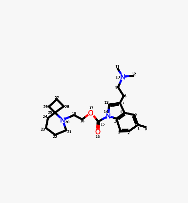 Cc1ccc2c(c1)c(CCN(C)C)cn2C(=O)OCCN1CCCCC12CCC2